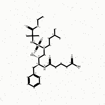 CCOC(=O)C(C)(C)NS(=O)(=O)N(CCC(C)C)C[C@@H](O)[C@H](Cc1ccccc1)NC(=O)CCCC(=O)O